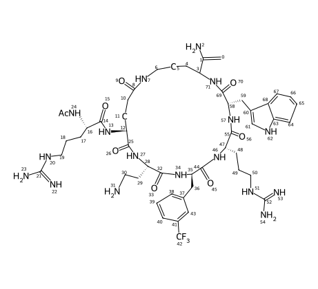 C=C(N)C1CCCNC(=O)CC[C@H](NC(=O)[C@H](CCCNC(=N)N)NC(C)=O)C(=O)N[C@@H](CCN)C(=O)N[C@H](Cc2cccc(C(F)(F)F)c2)C(=O)N[C@@H](CCCNC(=N)N)C(=O)N[C@@H](Cc2c[nH]c3ccccc23)C(=O)N1